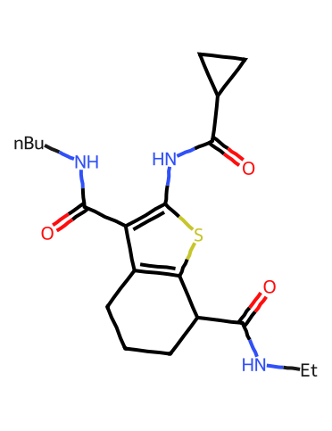 CCCCNC(=O)c1c(NC(=O)C2CC2)sc2c1CCCC2C(=O)NCC